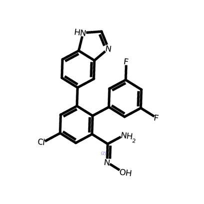 N/C(=N\O)c1cc(Cl)cc(-c2ccc3[nH]cnc3c2)c1-c1cc(F)cc(F)c1